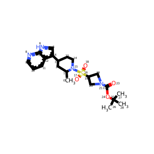 CC1CC(c2c[nH]c3ncccc23)CCN1S(=O)(=O)C1CN(C(=O)OC(C)(C)C)C1